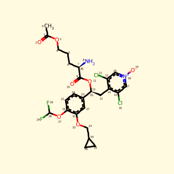 CC(=O)OCCC[C@@H](N)C(=O)O[C@@H](Cc1c(Cl)c[n+]([O-])cc1Cl)c1ccc(OC(F)F)c(OCC2CC2)c1